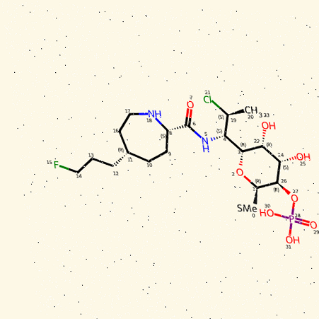 CS[C@H]1O[C@H]([C@H](NC(=O)[C@@H]2CC[C@H](CCCF)CCN2)[C@H](C)Cl)[C@H](O)[C@H](O)[C@H]1OP(=O)(O)O